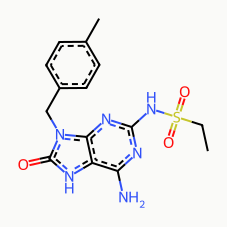 CCS(=O)(=O)Nc1nc(N)c2[nH]c(=O)n(Cc3ccc(C)cc3)c2n1